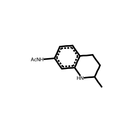 CC(=O)Nc1ccc2c(c1)NC(C)CC2